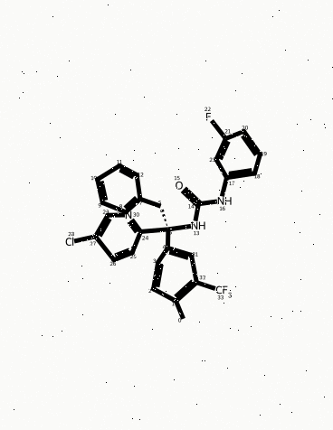 Cc1ccc([C@](Cc2ccccc2)(NC(=O)Nc2cccc(F)c2)c2ccc(Cl)cn2)cc1C(F)(F)F